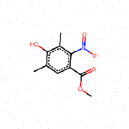 COC(=O)c1cc(C)c(O)c(C)c1[N+](=O)[O-]